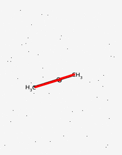 CCCCCCCCC=CCCCCCCCCCCCC(=O)OCCCCCCCCCCCCCCCCCCCCCCCCCCCCCCCCCCC